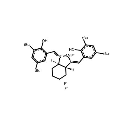 CC(C)(C)c1cc(C=[N+]2[Mn+2]/[N+](=C/c3cc(C(C)(C)C)cc(C(C)(C)C)c3O)[C@@H]3CCCC[C@H]32)c(O)c(C(C)(C)C)c1.[F-].[F-]